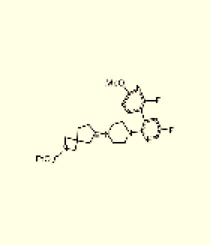 CCOC(=O)N1CC2(CC[C@@H](N3CCN(c4ncc(F)cc4-c4ccc(OC)nc4F)CC3)C2)C1